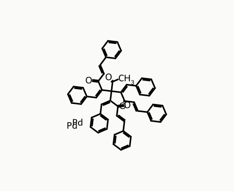 CC(=O)C(C(=Cc1ccccc1)C(=O)C=Cc1ccccc1)(C(=Cc1ccccc1)C(=O)C=Cc1ccccc1)C(=Cc1ccccc1)C(=O)C=Cc1ccccc1.[Pd].[Pd]